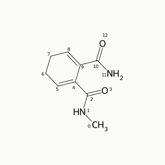 CNC(=O)C1=CCCC=C1C(N)=O